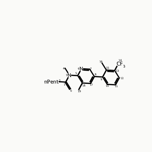 C=C(CCCCC)N(C)c1ncc(-c2cccc(C(F)(F)F)c2C)cc1C